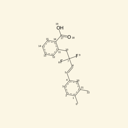 Cc1ccc(/C=C/C(F)(F)Cc2ccccc2C(=O)O)cc1C